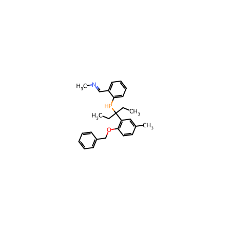 CCC(CC)(Pc1ccccc1/C=N/C)c1cc(C)ccc1OCc1ccccc1